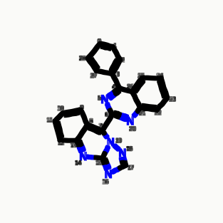 c1ccc(-c2nc(-c3c4ccccc4nc4ncnn34)nc3ccccc23)cc1